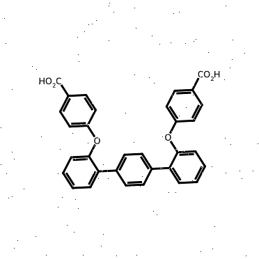 O=C(O)c1ccc(Oc2ccccc2-c2ccc(-c3ccccc3Oc3ccc(C(=O)O)cc3)cc2)cc1